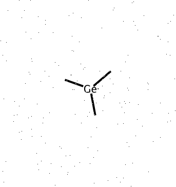 [CH3][Ge]([CH3])[CH3]